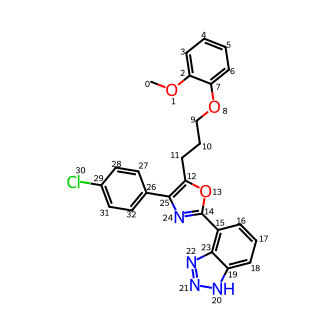 COc1ccccc1OCCCc1oc(-c2cccc3[nH]nnc23)nc1-c1ccc(Cl)cc1